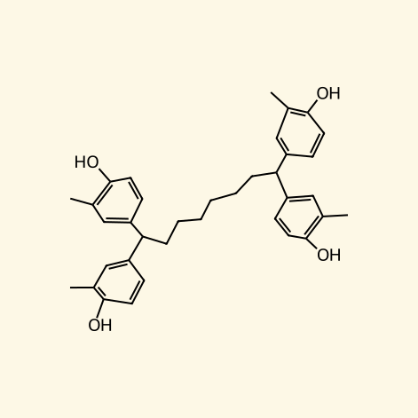 Cc1cc(C(CCCCCCC(c2ccc(O)c(C)c2)c2ccc(O)c(C)c2)c2ccc(O)c(C)c2)ccc1O